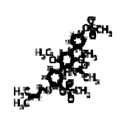 COc1cc(-c2ccc(OS(C)(=O)=O)cc2)c(OC)c(NC(C)=O)c1-c1ccc(OCC=C(C)C)c(OS(C)(=O)=O)c1